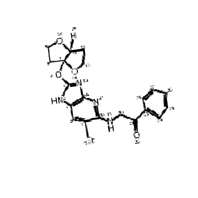 CCc1cc2[nH]c(O[C@@]34CCO[C@@H]3CCO4)nc2nc1NCC(=O)c1ccccc1